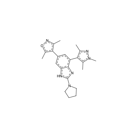 Cc1noc(C)c1-c1cc(-c2c(C)nn(C)c2C)c2nc(N3CCCC3)[nH]c2c1